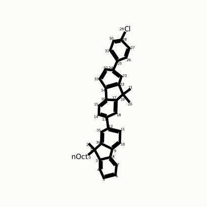 CCCCCCCCC1(C)c2ccccc2-c2ccc(-c3ccc4c(c3)C(C)(C)c3cc(-c5ccc(Cl)cc5)ccc3-4)cc21